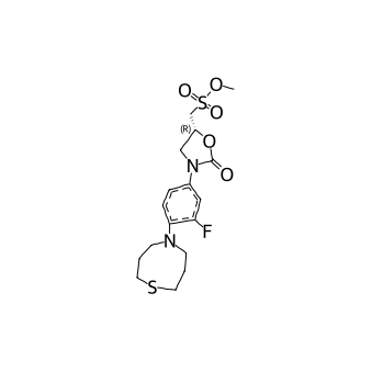 COS(=O)(=O)C[C@H]1CN(c2ccc(N3CCCSCCC3)c(F)c2)C(=O)O1